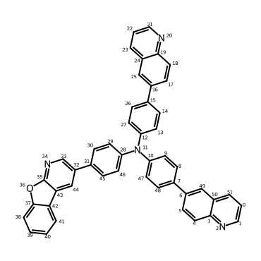 c1cnc2ccc(-c3ccc(N(c4ccc(-c5ccc6ncccc6c5)cc4)c4ccc(-c5cnc6oc7ccccc7c6c5)cc4)cc3)cc2c1